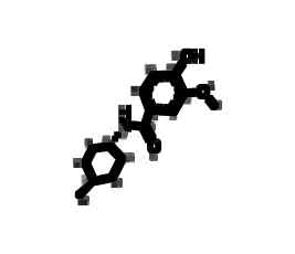 COc1cc(C(=O)N[C@H]2CC[C@H](C)CC2)ccc1O